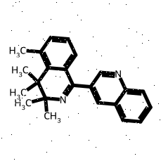 Cc1cccc2c1C(C)(C)C(C)(C)N=C2c1cnc2ccccc2c1